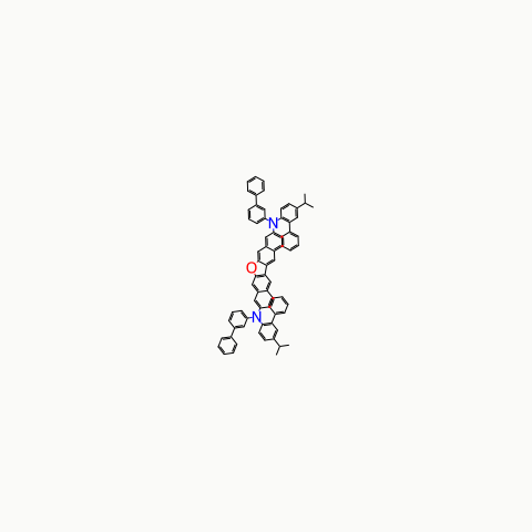 CC(C)c1ccc(N(c2cccc(-c3ccccc3)c2)c2ccc3cc4c(cc3c2)oc2cc3cc(N(c5cccc(-c6ccccc6)c5)c5ccc(C(C)C)cc5-c5ccccc5)ccc3cc24)c(-c2ccccc2)c1